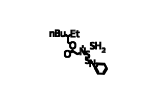 CCCCC(CC)COC(=O)CN(C)SSN1c2ccccc21.S